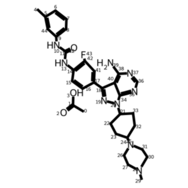 CC(=O)O.Cc1cccc(NC(=O)Nc2ccc(-c3nn(C4CCC(N5CCN(C)CC5)CC4)c4ncnc(N)c34)cc2F)c1